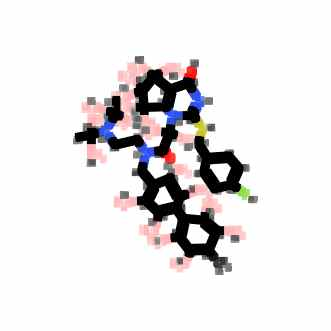 Bc1c(B)c(-c2c(B)c(B)c(C(F)(F)F)c(B)c2B)c(B)c(B)c1CN(CCN(C(B)(B)C)C(B)(B)C)C(=O)C(B)(B)n1c(SCc2ccc(F)cc2)nc(=O)c2c1C(B)(B)C(B)(B)C2(B)B